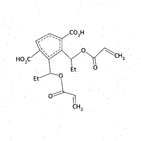 C=CC(=O)OC(CC)c1c(C(=O)O)ccc(C(=O)O)c1C(CC)OC(=O)C=C